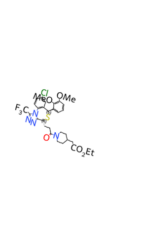 CCOC(=O)CC1CCN(C(=O)CC[C@H]2S[C@H](c3cccc(OC)c3OC)c3cc(Cl)ccc3-n3c2nnc3C(F)(F)F)CC1